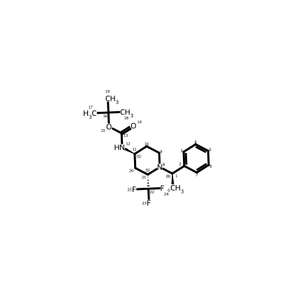 C[C@H](c1ccccc1)N1CC[C@H](NC(=O)OC(C)(C)C)C[C@H]1C(F)(F)F